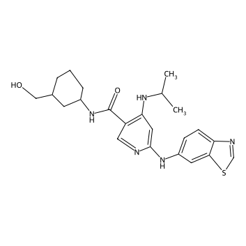 CC(C)Nc1cc(Nc2ccc3ncsc3c2)ncc1C(=O)NC1CCCC(CO)C1